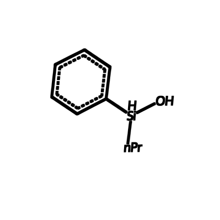 CCC[SiH](O)c1ccccc1